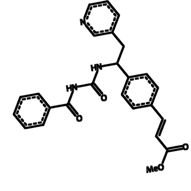 COC(=O)C=Cc1ccc(C(Cc2cccnc2)NC(=O)NC(=O)c2ccccc2)cc1